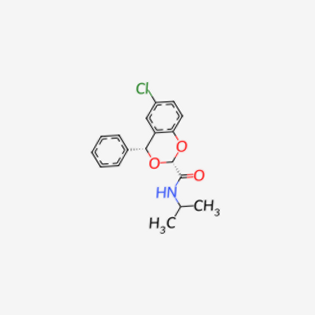 CC(C)NC(=O)[C@H]1Oc2ccc(Cl)cc2[C@@H](c2ccccc2)O1